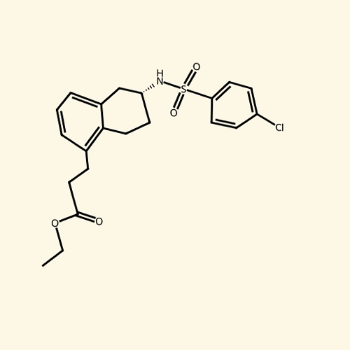 CCOC(=O)CCc1cccc2c1CC[C@@H](NS(=O)(=O)c1ccc(Cl)cc1)C2